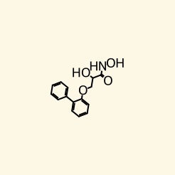 O=C(NO)C(O)COc1ccccc1-c1ccccc1